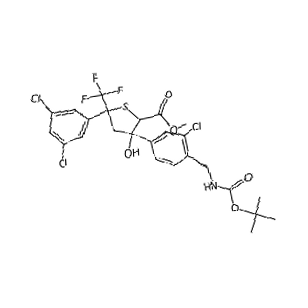 COC(=O)C1SC(c2cc(Cl)cc(Cl)c2)(C(F)(F)F)CC1(O)c1ccc(CNC(=O)OC(C)(C)C)c(Cl)c1